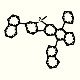 C[Si]1(C)c2cc(-c3cccc4ccccc34)ccc2-c2cc3c(-c4ccc5ccccc5c4)c4ccccc4c(-c4ccccc4)c3cc21